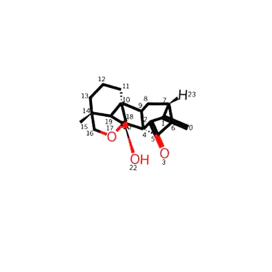 C=C1C(=O)[C@]23CC[C@H]1CC2[C@@]12CCC[C@@](C)(COC1)C2C[C@H]3O